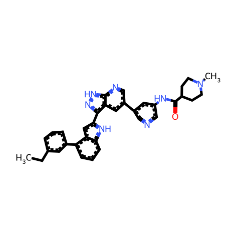 CCc1cccc(-c2cccc3[nH]c(-c4n[nH]c5ncc(-c6cncc(NC(=O)C7CCN(C)CC7)c6)cc45)cc23)c1